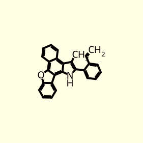 C=Cc1ccccc1-c1[nH]c2c(c1C)c1ccccc1c1oc3ccccc3c21